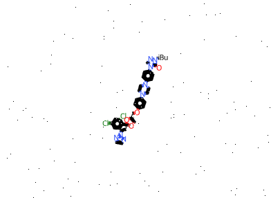 CCC(C)n1ncn(-c2ccc(N3CCN(c4ccc(OC[C@@H]5CO[C@@](CCn6nccn6)(c6ccc(Cl)cc6Cl)O5)cc4)CC3)cc2)c1=O